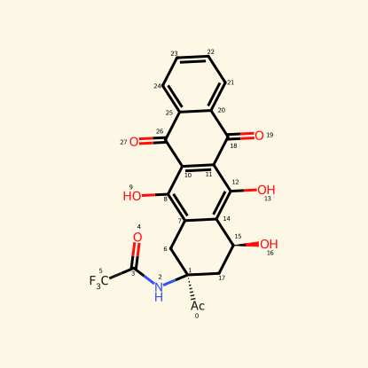 CC(=O)[C@]1(NC(=O)C(F)(F)F)Cc2c(O)c3c(c(O)c2[C@@H](O)C1)C(=O)c1ccccc1C3=O